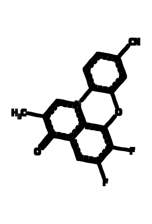 Cc1cn2c3c(c(F)c(F)cc3c1=O)Oc1cc(C#N)ccc1-2